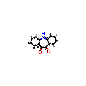 O=c1c(=O)c2ccccc2[nH]c2ccccc12